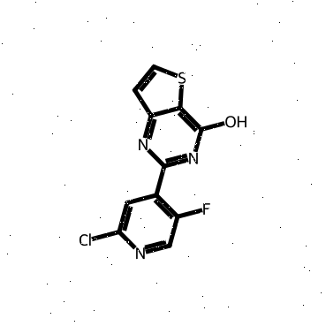 Oc1nc(-c2cc(Cl)ncc2F)nc2ccsc12